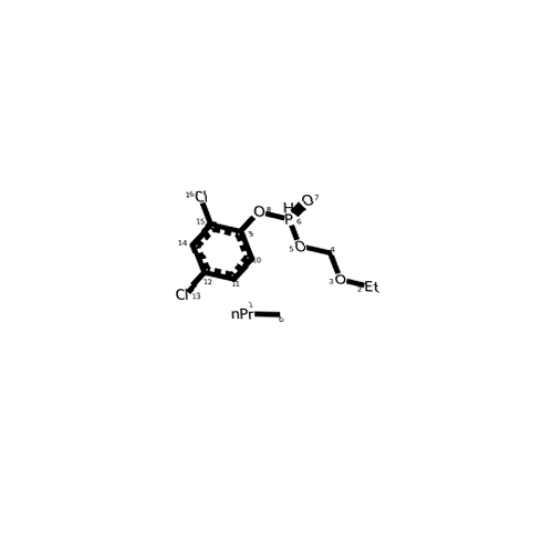 CCCC.CCOCO[PH](=O)Oc1ccc(Cl)cc1Cl